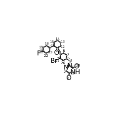 O=c1cnn(Cc2ccc(Oc3ccccc3-c3ccc(F)cc3)c(Br)c2)c(=O)[nH]1